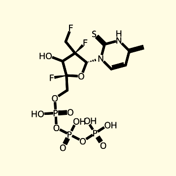 C=C1C=CN([C@@H]2O[C@](F)(COP(=O)(O)OP(=O)(O)OP(=O)(O)O)C(O)[C@]2(F)CF)C(=S)N1